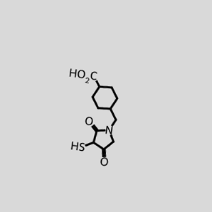 O=C(O)C1CCC(CN2CC(=O)C(S)C2=O)CC1